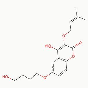 CC(C)=CCOc1c(O)c2cc(OCCCCO)ccc2oc1=O